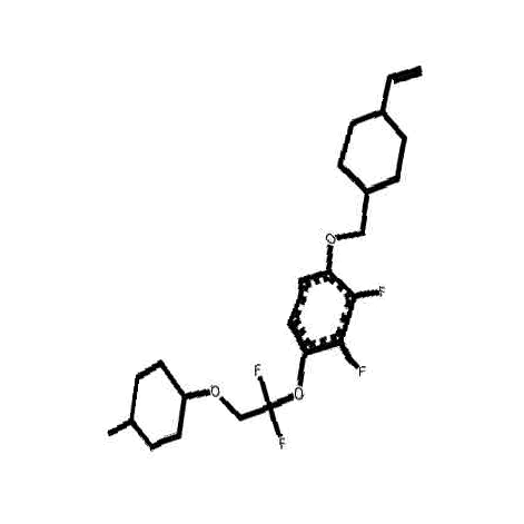 C=CC1CCC(COc2ccc(OC(F)(F)COC3CCC(C)CC3)c(F)c2F)CC1